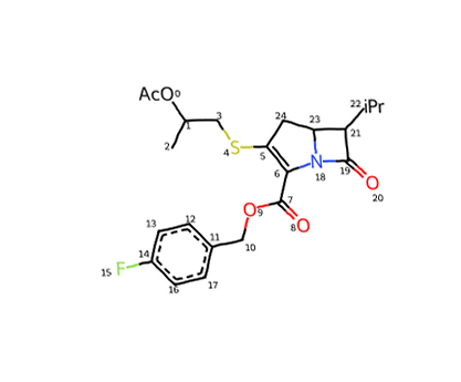 CC(=O)OC(C)CSC1=C(C(=O)OCc2ccc(F)cc2)N2C(=O)C(C(C)C)C2C1